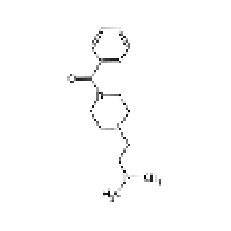 CN(C)CCN1CCN(C(=O)c2cc[c]cc2)CC1